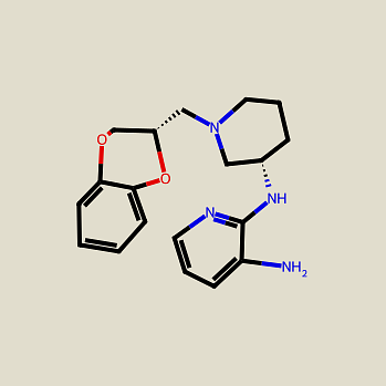 Nc1cccnc1N[C@H]1CCCN(C[C@H]2COc3ccccc3O2)C1